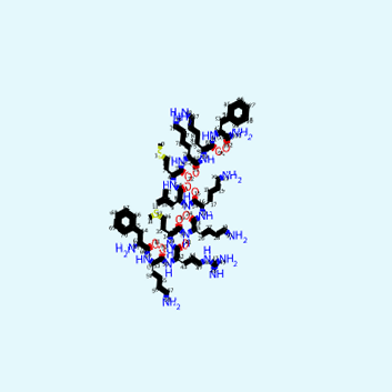 CSCC[C@H](NC(=O)[C@H](CC(C)C)NC(=O)[C@H](CCCCN)NC(=O)[C@H](CCCCN)NC(=O)[C@H](CCSC)NC(=O)[C@H](CCCNC(=N)N)NC(=O)[C@H](CCCCN)NC(=O)[C@@H](N)Cc1ccccc1)C(=O)N[C@@H](CCCCN)C(=O)N[C@@H](CCCCN)C(=O)N[C@@H](Cc1ccccc1)C(N)=O